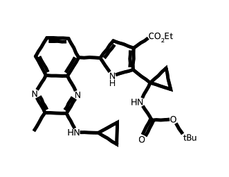 CCOC(=O)c1cc(-c2cccc3nc(C)c(NC4CC4)nc23)[nH]c1C1(NC(=O)OC(C)(C)C)CC1